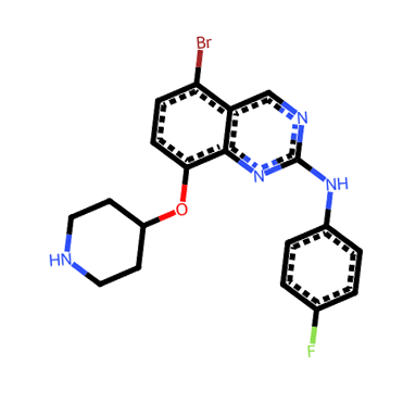 Fc1ccc(Nc2ncc3c(Br)ccc(OC4CCNCC4)c3n2)cc1